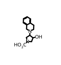 O=C(O)N1CC(O)C(N2CCc3ccccc3C2)C1